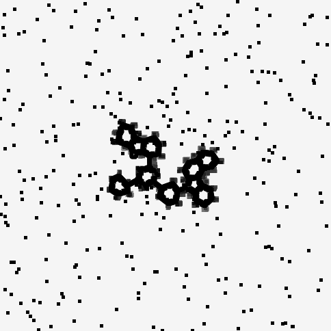 c1ccc(-c2nc(-c3cccc(-n4c5ccccc5c5c6ccccc6ccc54)c3)nc(-c3cccc4c3oc3ccccc34)n2)cc1